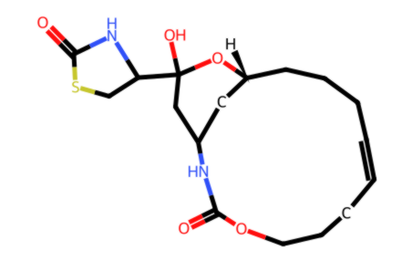 O=C1NC2C[C@@H](CCC/C=C\CCCO1)OC(O)(C1CSC(=O)N1)C2